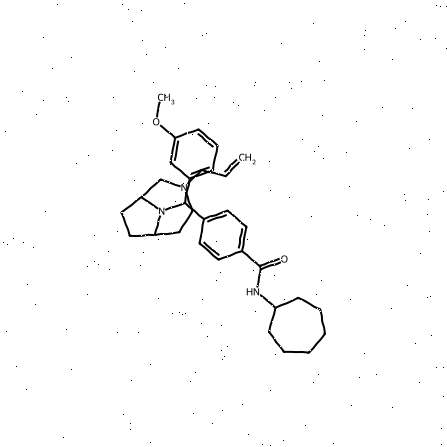 C=CCN1CCC2CCC(C1)N2C(c1ccc(C(=O)NC2CCCCCC2)cc1)c1cccc(OC)c1